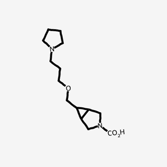 O=C(O)N1CC2C(COCCCN3CCCC3)C2C1